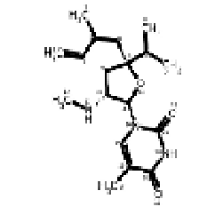 C=CC(C)C[C@]1(C(C)C)C[C@@H](NC)[C@H](n2cc(C)c(=O)[nH]c2=O)O1